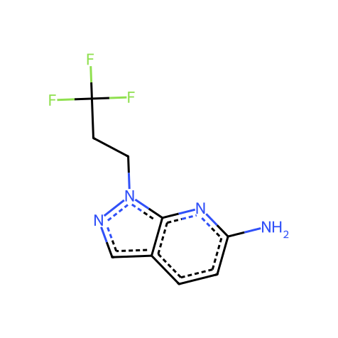 Nc1ccc2cnn(CCC(F)(F)F)c2n1